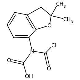 CC1(C)Cc2cccc(N(C(=O)O)C(=O)Cl)c2O1